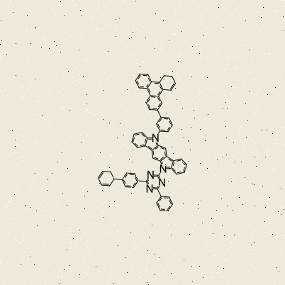 C1=CCC(c2ccc(-c3nc(-c4ccccc4)nc(-n4c5ccccc5c5cc6c(cc54)c4ccccc4n6-c4cccc(-c5ccc6c(c5)c5c(c7ccccc76)CCC=C5)c4)n3)cc2)C=C1